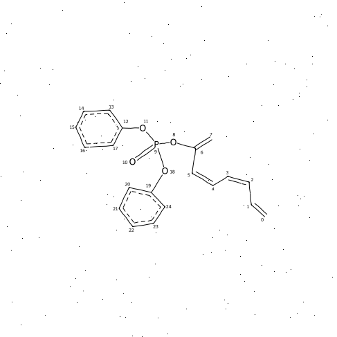 C=C/C=C\C=C/C(=C)OP(=O)(Oc1ccccc1)Oc1ccccc1